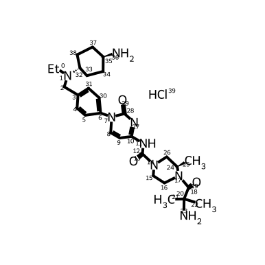 CCN(Cc1ccc(-n2ccc(NC(=O)N3CCN(C(=O)C(C)(C)N)[C@H](C)C3)nc2=O)cc1)[C@H]1CC[C@H](N)CC1.Cl